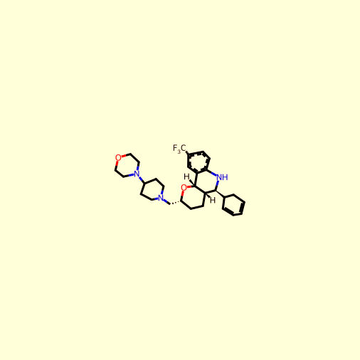 FC(F)(F)c1ccc2c(c1)[C@H]1O[C@@H](CN3CCC(N4CCOCC4)CC3)CC[C@H]1[C@H](C1C=CC=CC1)N2